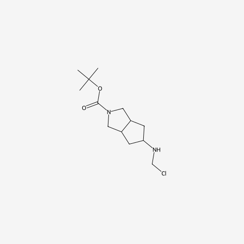 CC(C)(C)OC(=O)N1CC2CC(NCCl)CC2C1